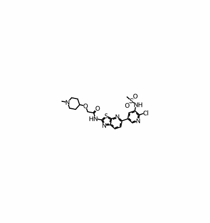 CN1CCC(OCC(=O)Nc2nc3ccc(-c4cnc(Cl)c(NS(C)(=O)=O)c4)nc3s2)CC1